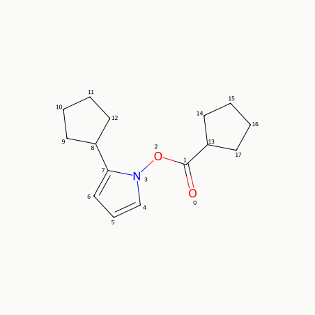 O=C(On1cccc1C1CCCC1)C1CCCC1